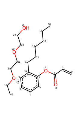 C=CC(=O)Oc1ccccc1CCCCCC.CCOCCOCCO